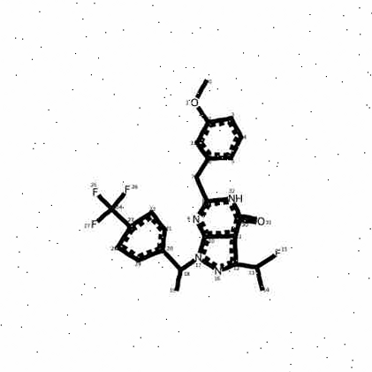 COc1cccc(Cc2nc3c(c(C(C)F)nn3C(C)c3ccc(C(F)(F)F)cc3)c(=O)[nH]2)c1